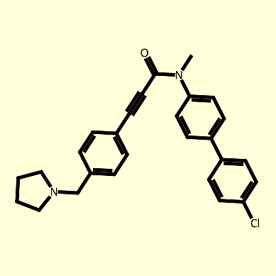 CN(C(=O)C#Cc1ccc(CN2CCCC2)cc1)c1ccc(-c2ccc(Cl)cc2)cc1